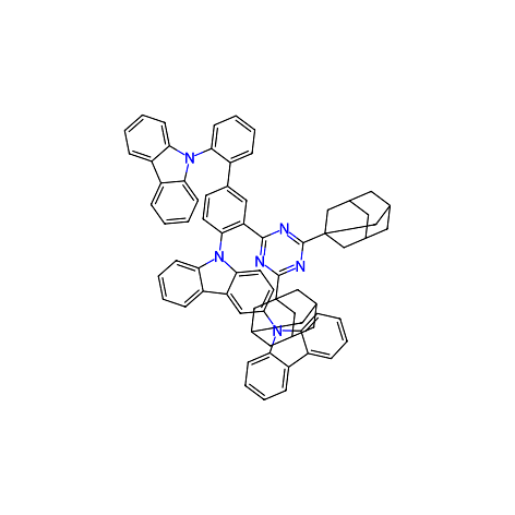 c1ccc(-n2c3ccccc3c3ccccc32)c(-c2ccc(-n3c4ccccc4c4cc(-n5c6ccccc6c6ccccc65)ccc43)c(-c3nc(C45CC6CC(CC(C6)C4)C5)nc(C45CC6CC(CC(C6)C4)C5)n3)c2)c1